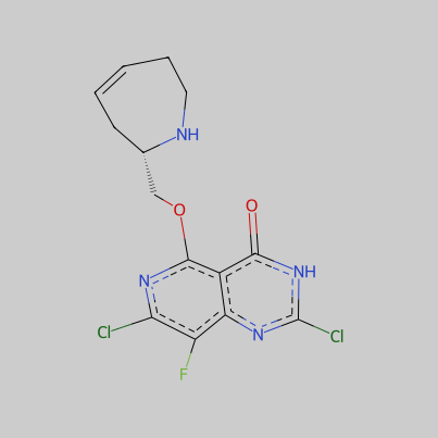 O=c1[nH]c(Cl)nc2c(F)c(Cl)nc(OC[C@@H]3CC=CCCN3)c12